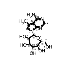 Cc1cn([C@@H]2O[C@H](CO)[C@@H](O)[C@H](O)[C@@H](O)[C@H]2O)c2ncnc(N)c12